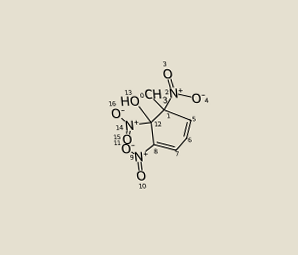 CC1([N+](=O)[O-])C=CC=C([N+](=O)[O-])C1(O)[N+](=O)[O-]